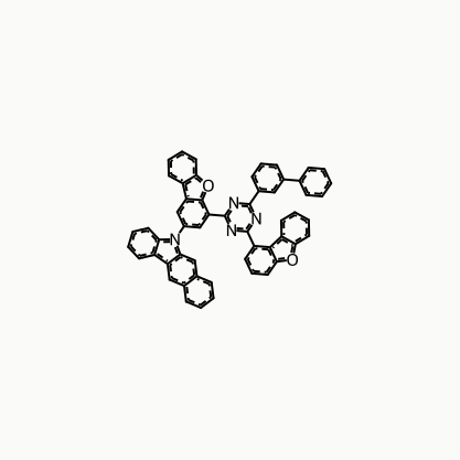 c1ccc(-c2cccc(-c3nc(-c4cc(-n5c6ccccc6c6cc7ccccc7cc65)cc5c4oc4ccccc45)nc(-c4cccc5oc6ccccc6c45)n3)c2)cc1